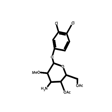 COC1C(Oc2ccc(Cl)c(Cl)c2)OC(COC(C)=O)C(OC(C)=O)C1N